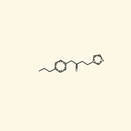 CCCc1ccc(CC(=O)CCn2ccnc2)cc1